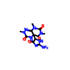 CN1N=C2N(C)C(=O)N(C)C(=O)C2(C2NC(N)=NC2=O)NC1=O